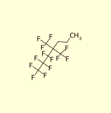 CCCC(C(F)(F)F)(C(F)(F)F)C(F)(F)C(F)(F)C(F)(F)F